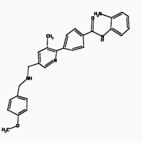 COc1ccc(CNCc2cnc(-c3ccc(C(=O)Nc4ccccc4N)cc3)c(C)c2)cc1